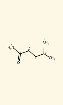 CC(C)CSC(N)=O